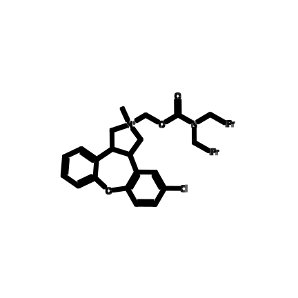 CC(C)CN(CC(C)C)C(=O)OC[N+]1(C)CC2c3ccccc3Oc3ccc(Cl)cc3C2C1